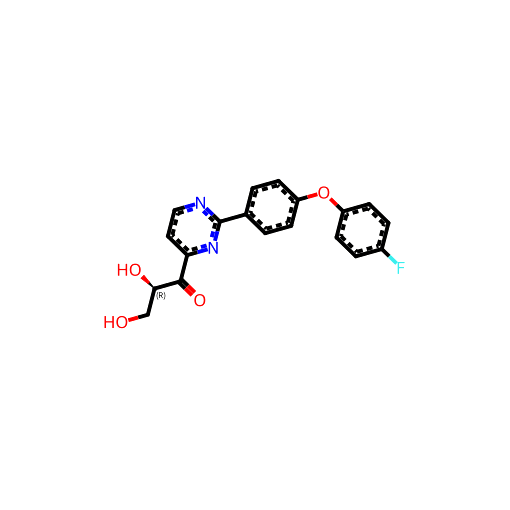 O=C(c1ccnc(-c2ccc(Oc3ccc(F)cc3)cc2)n1)[C@H](O)CO